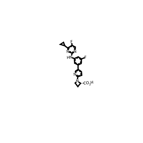 O=C(O)[C@@H]1CCN1c1ccc(-c2cc(F)cc(Nc3ncc(F)c(C4CC4)n3)c2)cn1